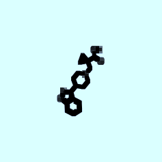 O=C(O)C1(CN2CCC(c3noc4ccccc34)CC2)CC1